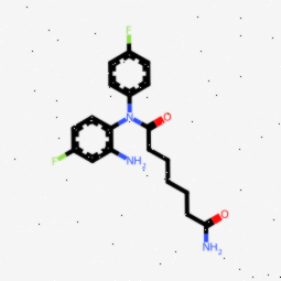 NC(=O)CCCCCC(=O)N(c1ccc(F)cc1)c1ccc(F)cc1N